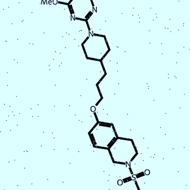 COc1ccnc(N2CCC(CCCOc3ccc4c(c3)CCN(S(C)(=O)=O)C4)CC2)n1